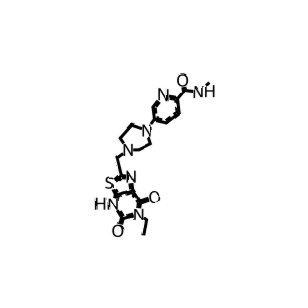 CCn1c(=O)[nH]c2sc(CN3CCN(c4ccc(C(=O)NC)nc4)CC3)nc2c1=O